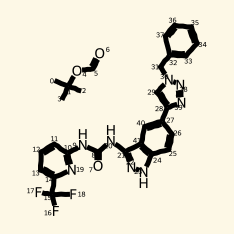 CC(C)(C)OC=O.O=C(Nc1cccc(C(F)(F)F)n1)Nc1n[nH]c2ccc(-c3cn(Cc4ccccc4)nn3)cc12